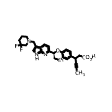 CC#CC(CC(=O)O)c1ccc(O[C@@H](CC(C)C)c2ccc3c(CN4CCCC(F)(F)C4)c[nH]c3n2)cc1